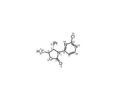 CC(C)[C@H]1C(C)OC(=O)N1c1ccnc(Cl)n1